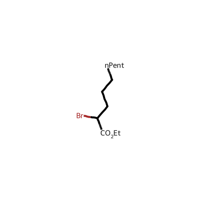 CCCCCCCCC(Br)C(=O)OCC